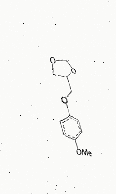 COc1ccc(OCC2CO[CH]O2)cc1